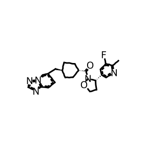 Cc1ncc([C@@H]2CCON2C(=O)[C@H]2CC[C@H](Cc3ccc4ncnn4c3)CC2)cc1F